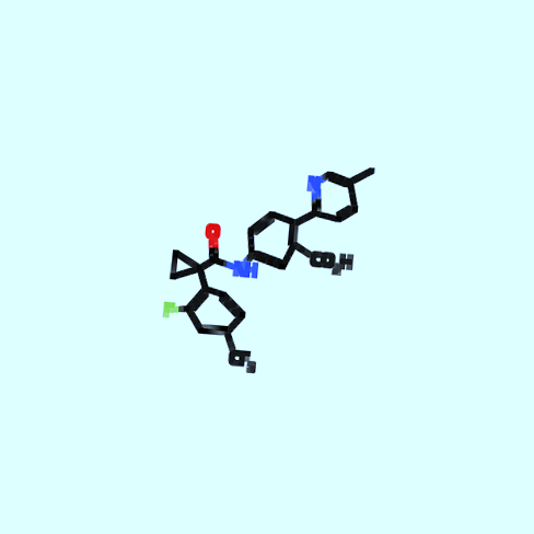 Cc1ccc(-c2ccc(NC(=O)C3(c4ccc(C(F)(F)F)cc4F)CC3)cc2C(=O)O)nc1